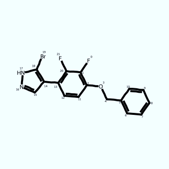 Fc1c(OCc2ccccc2)ccc(-c2cn[nH]c2Br)c1F